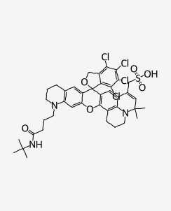 CC(C)(C)NC(=O)CCCN1CCCc2cc3c(cc21)Oc1c(cc2c4c1CCCN4C(C)(C)C=C2CS(=O)(=O)O)C31OCc2c(Cl)c(Cl)c(Cl)c(Cl)c21